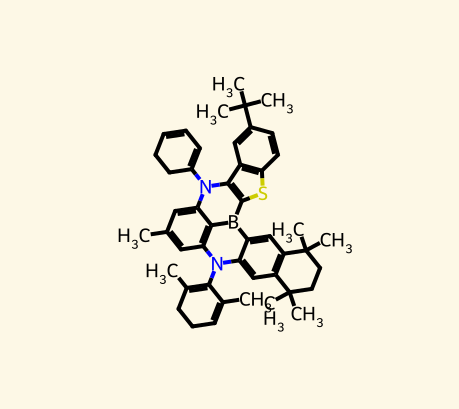 CC1=CCCC(C)=C1N1c2cc3c(cc2B2c4sc5ccc(C(C)(C)C)cc5c4N(C4=CC=CCC4)c4cc(C)cc1c42)C(C)(C)CCC3(C)C